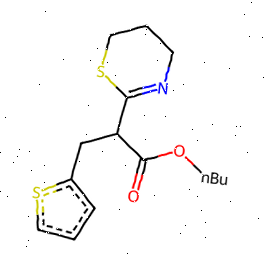 CCCCOC(=O)C(Cc1cccs1)C1=NCCCS1